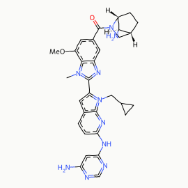 COc1cc(C(=O)N2C[C@H]3CC[C@@H]2[C@@H]3N)cc2nc(-c3cc4ccc(Nc5cc(N)ncn5)nc4n3CC3CC3)n(C)c12